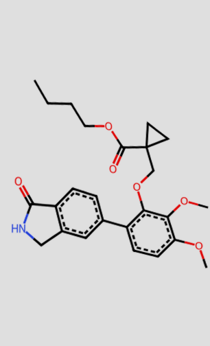 CCCCOC(=O)C1(COc2c(-c3ccc4c(c3)CNC4=O)ccc(OC)c2OC)CC1